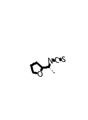 C[C@@H](N=C=S)C1CCCO1